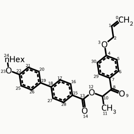 C=CCOc1ccc(C(=O)C(C)OC(=O)c2ccc(-c3ccc(OCCCCCC)cc3)cc2)cc1